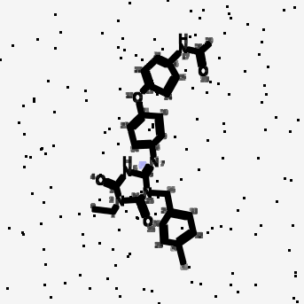 CCn1c(=O)[nH]/c(=N\c2ccc(Oc3ccc(NC(C)=O)cc3)cc2)n(Cc2ccc(C)cc2)c1=O